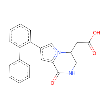 O=C(O)CC1CNC(=O)c2cc(-c3ccccc3-c3ccccc3)cn21